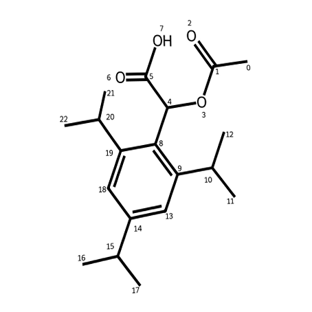 CC(=O)OC(C(=O)O)c1c(C(C)C)cc(C(C)C)cc1C(C)C